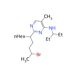 CCCCCCC(CCC(C)Br)c1ncc(C)c(NC(CC)CC)n1